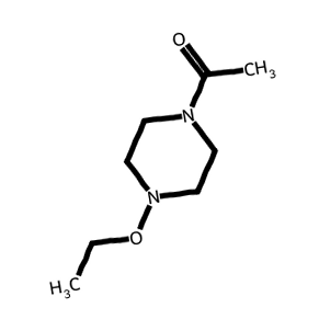 CCON1CCN(C(C)=O)CC1